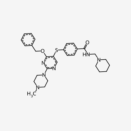 CN1CCN(c2ncc(Sc3ccc(C(=O)NCN4CCCCC4)cc3)c(OCc3ccccc3)n2)CC1